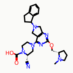 CN1CCC[C@H]1COc1nc2c(c(N3CCN(C(=O)O)[C@@H](C#N)C3)n1)CN(C1CCc3ccccc31)C2